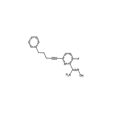 N/C(=N\O)c1nc(C#CCCCc2ccccc2)ccc1F